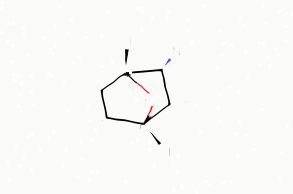 Cl.N[C@H]1C[C@@H]2CC[C@H]1O2